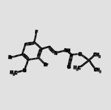 COc1c(Br)cc(F)c(/C=N/NC(=O)OC(C)(C)C)c1Br